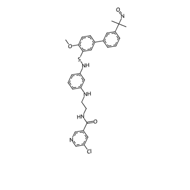 COc1ccc(-c2cccc(C(C)(C)N=O)c2)cc1SNc1cccc(NCCNC(=O)c2cncc(Cl)c2)c1